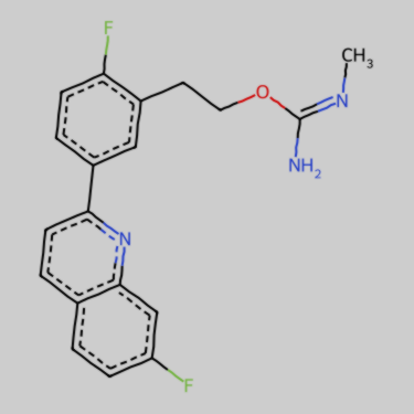 C/N=C(/N)OCCc1cc(-c2ccc3ccc(F)cc3n2)ccc1F